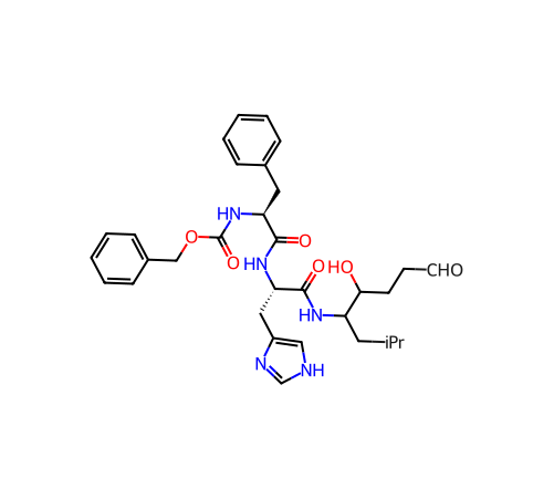 CC(C)CC(NC(=O)[C@H](Cc1c[nH]cn1)NC(=O)[C@H](Cc1ccccc1)NC(=O)OCc1ccccc1)C(O)CCC=O